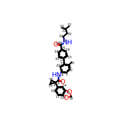 Cc1ccc(NC(=O)C2(c3ccc4c(c3)OCO4)CC2)cc1-c1ccc(C(=O)NCCC(C)C)cc1